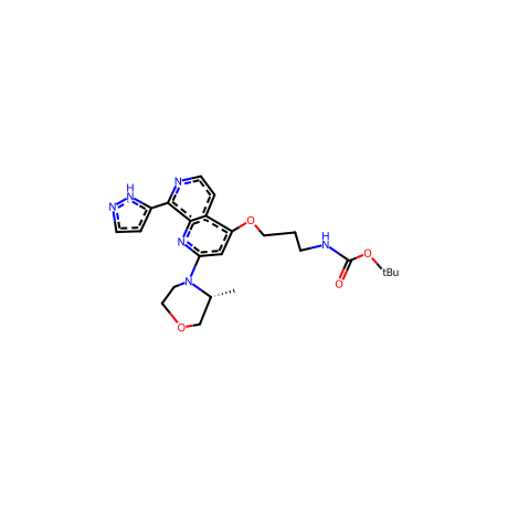 C[C@@H]1COCCN1c1cc(OCCCNC(=O)OC(C)(C)C)c2ccnc(-c3ccn[nH]3)c2n1